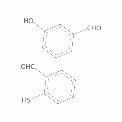 O=Cc1cccc(O)c1.O=Cc1ccccc1S